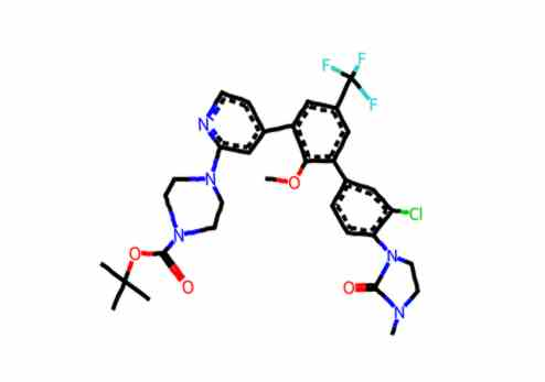 COc1c(-c2ccnc(N3CCN(C(=O)OC(C)(C)C)CC3)c2)cc(C(F)(F)F)cc1-c1ccc(N2CCN(C)C2=O)c(Cl)c1